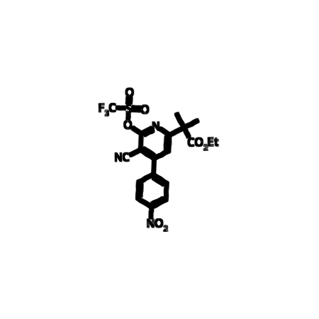 CCOC(=O)C(C)(C)c1cc(-c2ccc([N+](=O)[O-])cc2)c(C#N)c(OS(=O)(=O)C(F)(F)F)n1